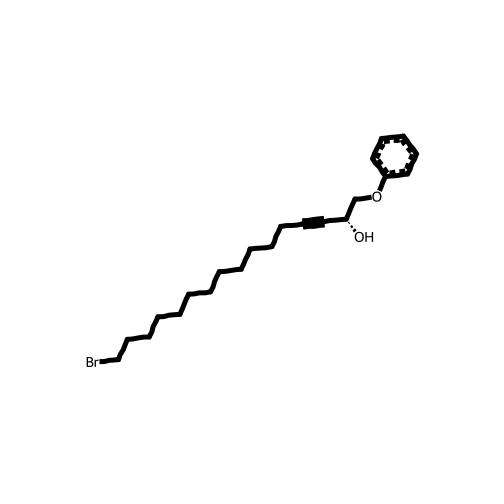 O[C@H](C#CCCCCCCCCCCCCBr)COc1ccccc1